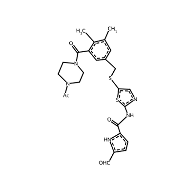 CC(=O)N1CCN(C(=O)c2cc(CSc3cnc(NC(=O)c4ccc(C=O)[nH]4)s3)cc(C)c2C)CC1